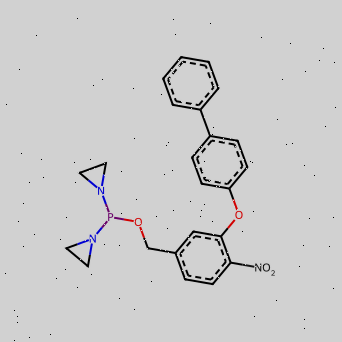 O=[N+]([O-])c1ccc(COP(N2CC2)N2CC2)cc1Oc1ccc(-c2ccccc2)cc1